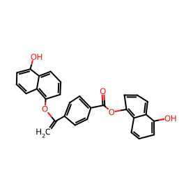 C=C(Oc1cccc2c(O)cccc12)c1ccc(C(=O)Oc2cccc3c(O)cccc23)cc1